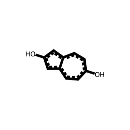 Oc1ccc2cc(O)cc-2cc1